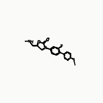 CNCC1CN(c2ccc(-c3ccc(SC)cc3)c(F)c2)C(=O)O1